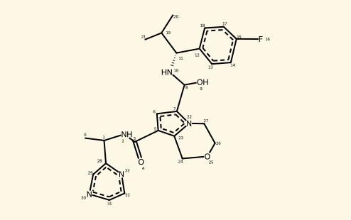 CC(NC(=O)c1cc(C(O)N[C@@H](c2ccc(F)cc2)C(C)C)n2c1COCC2)c1cnccn1